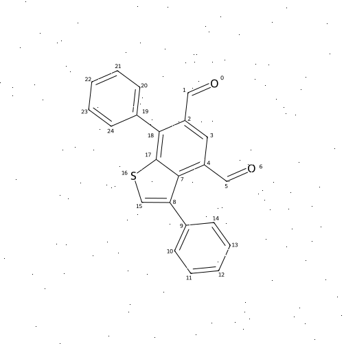 O=Cc1cc(C=O)c2c(-c3ccccc3)csc2c1-c1ccccc1